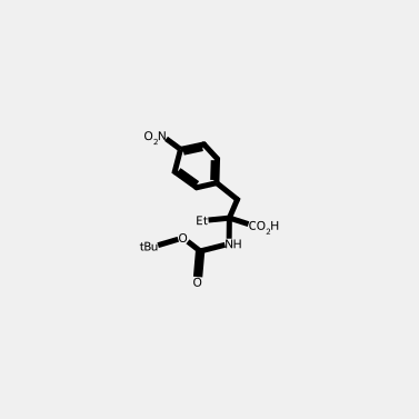 CCC(Cc1ccc([N+](=O)[O-])cc1)(NC(=O)OC(C)(C)C)C(=O)O